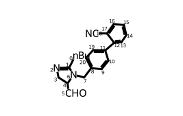 CCCCC1=NCC(C=O)N1Cc1ccc(-c2ccccc2C#N)cc1